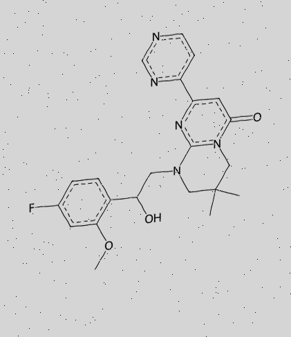 COc1cc(F)ccc1C(O)CN1CC(C)(C)Cn2c1nc(-c1ccncn1)cc2=O